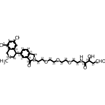 CN1Cc2c(Cl)cc(Cl)cc2C(c2ccc3c(c2)C(=O)N(CCOCCOCCOCCNC(=O)C(O)CC=O)C3)C1